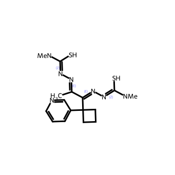 CN/C(S)=N/N=C(C)/C(=N/N=C(\S)NC)C1(c2cccnc2)CCC1